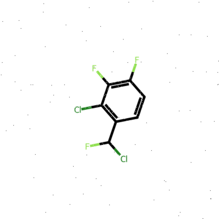 Fc1ccc(C(F)Cl)c(Cl)c1F